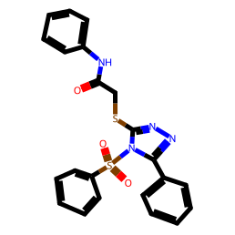 O=C(CSc1nnc(-c2ccccc2)n1S(=O)(=O)c1ccccc1)Nc1ccccc1